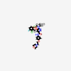 CB(O)N(BC=O)c1nnc(C(=O)Nc2ccc(OCCN3CCOCC3)cc2)cc1OC(C)c1c(Cl)ccc(F)c1Cl